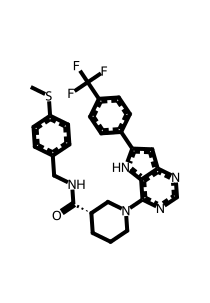 CSc1ccc(CNC(=O)[C@H]2CCCN(c3ncnc4cc(-c5ccc(C(F)(F)F)cc5)[nH]c34)C2)cc1